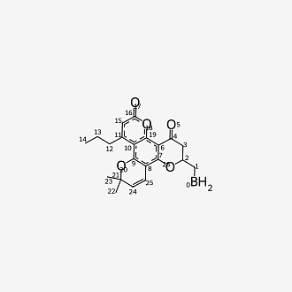 BCC1CC(=O)c2c(c3c(c4c(CCC)cc(=O)oc24)OC(C)(C)C=C3)O1